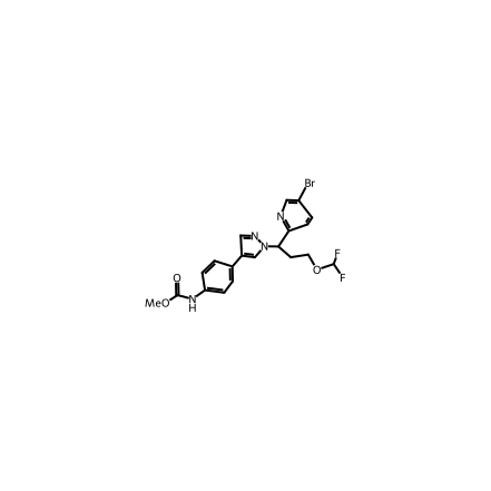 COC(=O)Nc1ccc(-c2cnn(C(CCOC(F)F)c3ccc(Br)cn3)c2)cc1